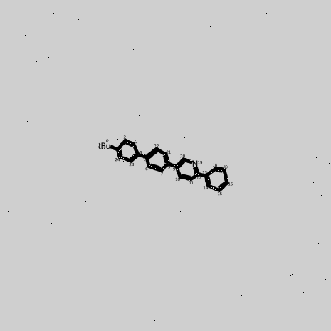 CC(C)(C)c1ccc(-c2ccc(-c3ccc(-c4ccccc4)nc3)cc2)cc1